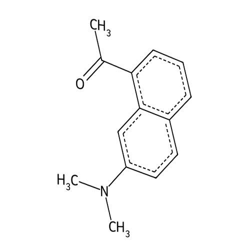 CC(=O)c1cccc2ccc(N(C)C)cc12